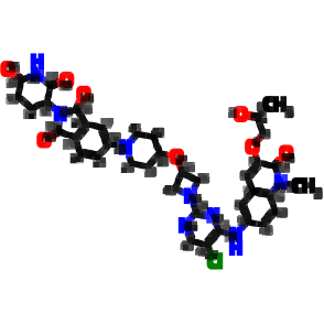 CC(=O)COc1cc2cc(Nc3nc(N4CC(OC5CCN(c6ccc7c(c6)C(=O)N(C6CCC(=O)NC6=O)C7=O)CC5)C4)ncc3Cl)ccc2n(C)c1=O